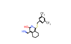 N=Cc1c(O)nc(SCc2cc(C(F)(F)F)cc(C(F)(F)F)c2)c2c1CCCC2